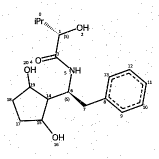 CC(C)[C@H](O)C(=O)N[C@@H](Cc1ccccc1)C1C(O)CCC1O